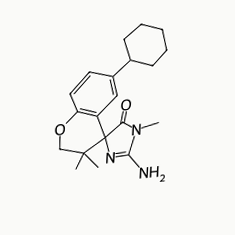 CN1C(=O)C2(N=C1N)c1cc(C3CCCCC3)ccc1OCC2(C)C